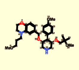 COCCCN1CCOc2ccc(CO[C@H]3CNC[C@@H](OCC(C)(C)OC)[C@@H]3c3ccc(OC)cc3)cc21